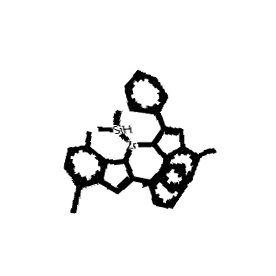 Cc1ccc(C)c2c1C=C(c1ccccc1)[CH]2[Zr]([CH]1C(c2ccccc2)=Cc2c(C)ccc(C)c21)[SiH](C)C